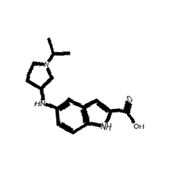 CC(C)N1CCC(Nc2ccc3[nH]c(C(=O)O)cc3c2)C1